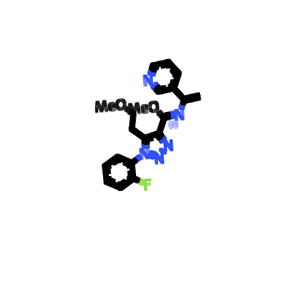 C=C(/N=C(\OC)c1nnn(-c2ccccc2F)c1CCOC)c1cccnc1